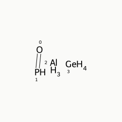 O=P.[AlH3].[GeH4]